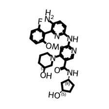 COc1cccc(F)c1-c1nc(Nc2cc(N3CCC[C@H](O)C3)c(C(=O)N[C@@H]3CC[C@H](O)C3)cn2)ccc1N